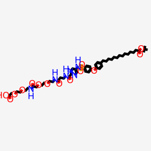 CC(C)(C)OC(=O)CCCCCCCCCCCCCc1ccc(Oc2ccc(S(=O)(=O)Nc3cnc(C(=O)NCCC(=O)NCCOCCOCC(=O)NCCOCCOCC(=O)O)nc3)cc2)cc1